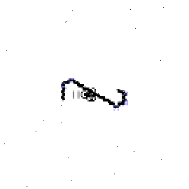 CC/C=C\C/C=C\C/C=C\CCCCCCCC(=O)OC(CCCCCC/C=C\C/C=C\CCCCC)C(=O)O